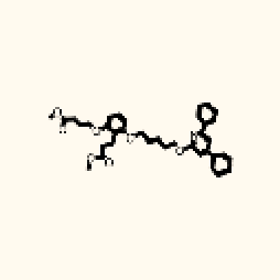 COC(=O)CCCOc1cccc(OCCCCCOc2cc(-c3ccccc3)cc(-c3ccccc3)n2)c1CCC(=O)OC